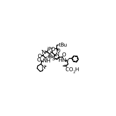 CC[C@H](C)[C@H](NC(=O)C1CCCCN1C)C(=O)N(C)[C@H](C[C@@H](OC(=O)CC(C)(C)C)c1nc(C(=O)N[C@@H](Cc2ccccc2)C[C@H](C)C(=O)O)cs1)C(C)C